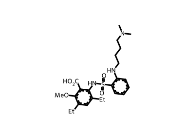 CCc1cc(CC)c(OC)c(C(=O)O)c1NS(=O)(=O)c1ccccc1NCCCCN(C)C